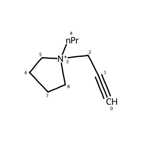 C#CC[N+]1(CCC)CCCC1